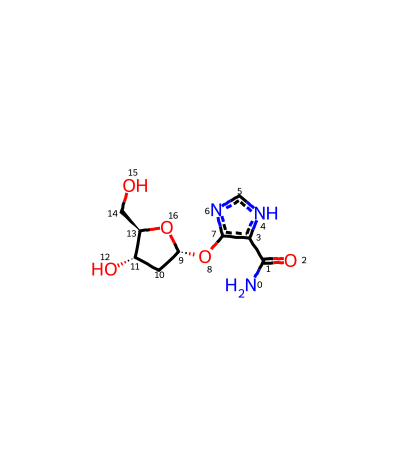 NC(=O)c1[nH]cnc1O[C@@H]1C[C@H](O)[C@@H](CO)O1